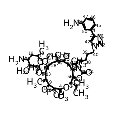 CC[C@H]1OC(=O)[C@@](C)(F)C(=O)[C@H](C)[C@@H](O[C@@H]2OC(C)CC(N)C2O)[C@](C)(OC)C[C@@H](C)C(=O)[C@H](C)[C@H]2N(CCCCn3cc(-c4cccc(N)c4)nn3)C(=O)O[C@]12C